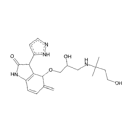 C=C1C=CC2=C(C1OCC(O)CNC(C)(C)CCO)C(c1ccn[nH]1)C(=O)N2